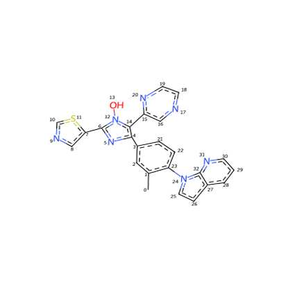 Cc1cc(-c2nc(-c3cncs3)n(O)c2-c2cnccn2)ccc1-n1ccc2cccnc21